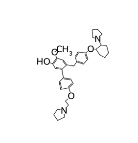 COc1cc(Cc2ccc(OC3CCCCC3N3CCCC3)cc2)c(-c2ccc(OCCN3CCCC3)cc2)cc1O